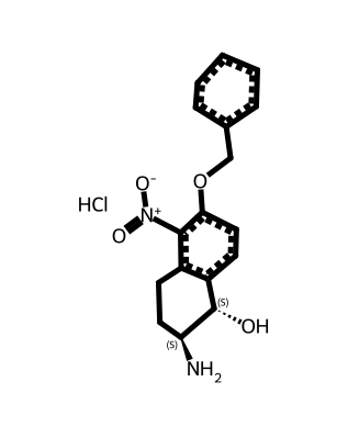 Cl.N[C@H]1CCc2c(ccc(OCc3ccccc3)c2[N+](=O)[O-])[C@@H]1O